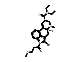 CCN(CC)C(=O)[C@@H]1C=C2c3cccc4c3c(c(Br)n4C(=O)CCOC)C[C@H]2N(C)C1